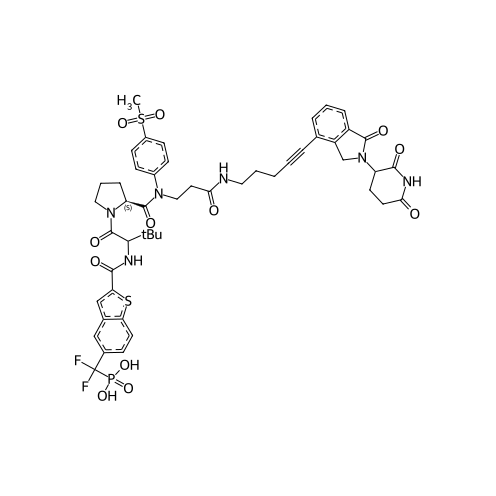 CC(C)(C)C(NC(=O)c1cc2cc(C(F)(F)P(=O)(O)O)ccc2s1)C(=O)N1CCC[C@H]1C(=O)N(CCC(=O)NCCCC#Cc1cccc2c1CN(C1CCC(=O)NC1=O)C2=O)c1ccc(S(C)(=O)=O)cc1